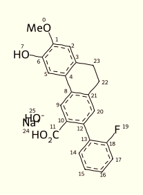 COc1cc2c(cc1O)-c1cc(C(=O)O)c(-c3ccccc3F)cc1CC2.[Na+].[OH-]